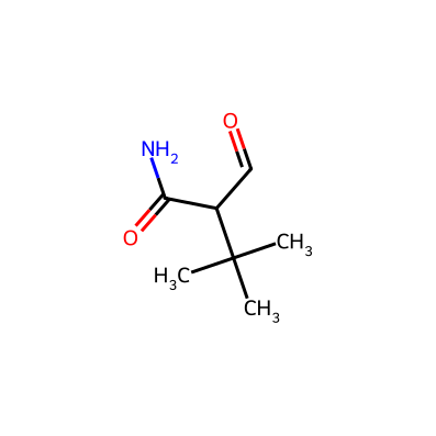 CC(C)(C)C(C=O)C(N)=O